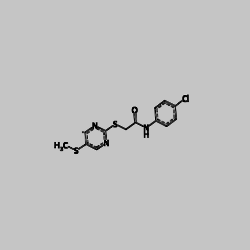 CSc1[c]nc(SCC(=O)Nc2ccc(Cl)cc2)nc1